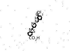 O=C(O)c1ccc2nc(-c3ccc(NCc4cccc(OC(F)(F)F)c4)nc3)sc2c1